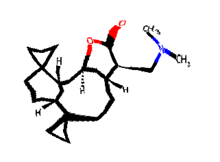 CN(C)C[C@@H]1C(=O)O[C@H]2[C@H]1CCC1(CC1)[C@@H]1CCC3(CC3)[C@H]21